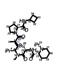 C/C(=C\[C@H](C(C)C)N(C)C(=O)[C@@H](NC(=O)[C@H]1CCCCN1C(C)C)C(C)(C)C)C(=O)N1CCC[C@H]1C(=O)NC1CCC1